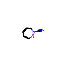 N#CN1CC=CC=CO1